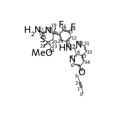 CC#CCOc1cnc2c(Nc3cc(F)c(F)c([C@]4(C)C[C@](C)(COC)SC(N)=N4)c3)nccc2c1